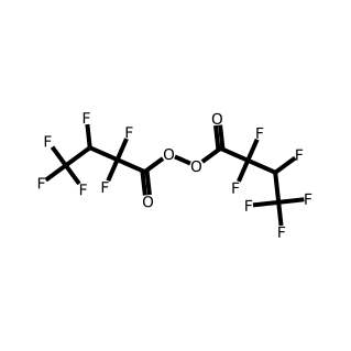 O=C(OOC(=O)C(F)(F)C(F)C(F)(F)F)C(F)(F)C(F)C(F)(F)F